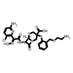 NCCSCc1ccccc1SC1(C(=O)O)CS[C@@H]2[C@H](NC(=O)C(=NO)c3nc(N)ccc3Cl)C(=O)N2C1